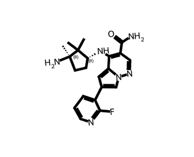 CC1(C)[C@H](Nc2c(C(N)=O)cnn3cc(-c4cccnc4F)cc23)CC[C@@]1(C)N